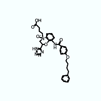 O=C(O)CCC[N+]1([O-])CC(c2nnn[nH]2)Oc2c(NC(=O)c3ccc(OCCCCc4ccccc4)cc3)cccc21